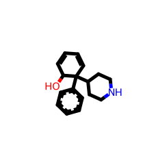 OC1C=CC=CC1(c1ccccc1)C1CCNCC1